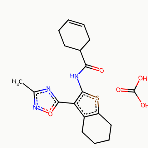 Cc1noc(-c2c(NC(=O)C3CC=CCC3)sc3c2CCCC3)n1.O=C(O)O